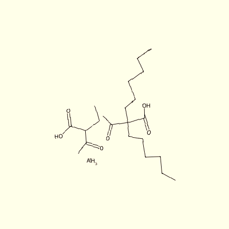 CCC(C(C)=O)C(=O)O.CCCCCCC(CCCCCC)(C(C)=O)C(=O)O.[AlH3]